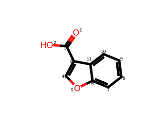 O=C(O)c1[c]oc2ccccc12